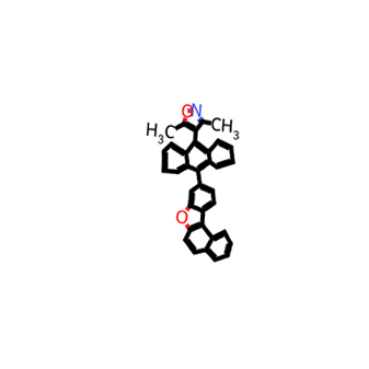 Cc1noc(C)c1-c1c2ccccc2c(-c2ccc3c(c2)oc2ccc4ccccc4c23)c2ccccc12